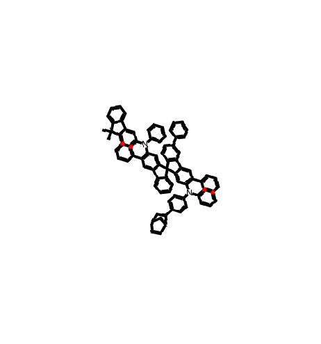 CC1(C)c2ccccc2-c2cc(N(c3ccccc3)c3cc4c(cc3-c3ccccc3)-c3ccccc3C43c4ccc(-c5ccccc5)cc4-c4cc(-c5ccccc5)c(N(c5ccccc5)c5ccc(C6CC7CCC6C7)cc5)cc43)ccc21